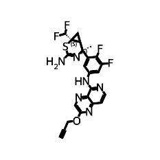 C#CCOc1cnc2c(Nc3cc(F)c(F)c([C@@]4(C)N=C(N)S[C@@]5(C(F)F)CC54)c3)nccc2n1